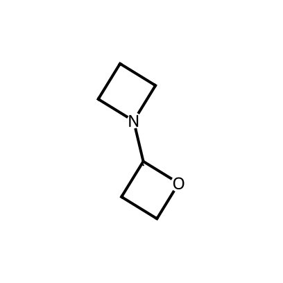 C1CN([C]2CCO2)C1